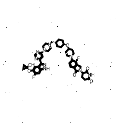 CC1(Oc2cc3c(-c4cc(N5CCN(C[C@H]6CC[C@H](OC7CCN(c8ccc9c(c8F)CN(C8CCC(=O)NC8=O)C9=O)CC7)CC6)CC5)ncn4)n[nH]c3cc2F)CC1